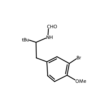 COc1ccc(CC(NC=O)C(C)(C)C)cc1Br